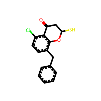 O=C1CC(S)Oc2c(Cc3ccccc3)ccc(Cl)c21